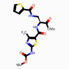 COC(=O)[C@H](CNC(=O)c1cccs1)NC(=O)c1sc(NC(=O)OC(C)(C)C)nc1C(F)(F)F